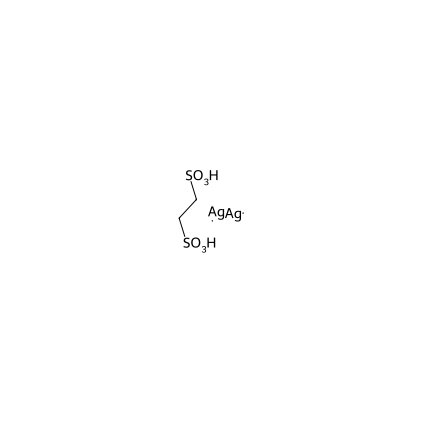 O=S(=O)(O)CCS(=O)(=O)O.[Ag].[Ag]